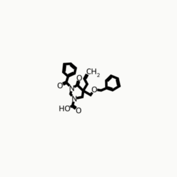 C=CCC1(COCc2ccccc2)CN(C(=O)O)CN(C(=O)c2ccccc2)C1=O